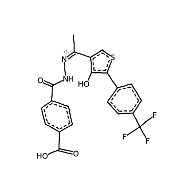 C/C(=N/NC(=O)c1ccc(C(=O)O)cc1)c1csc(-c2ccc(C(F)(F)F)cc2)c1O